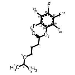 CC(C)OCCCC(=O)Oc1c(F)c(F)c(F)c(F)c1F